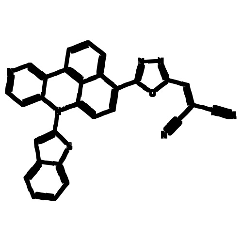 N#CC(C#N)=Cc1nnc(-c2ccc3c4c(cccc24)-c2cnccc2N3c2cc3ccccc3s2)o1